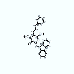 CN(C(=O)OCC1c2ccccc2-c2ccccc21)C(CCCc1ccccc1)C(=O)O